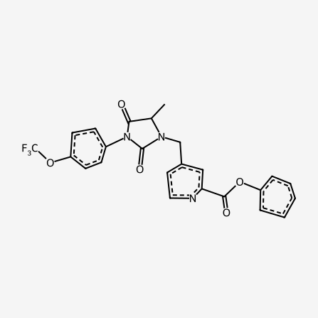 CC1C(=O)N(c2ccc(OC(F)(F)F)cc2)C(=O)N1Cc1ccnc(C(=O)Oc2ccccc2)c1